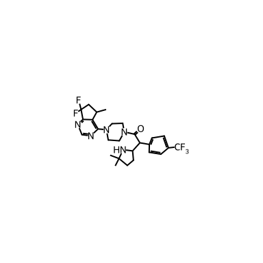 CC1CC(F)(F)c2ncnc(N3CCN(C(=O)C(c4ccc(C(F)(F)F)cc4)C4CCC(C)(C)N4)CC3)c21